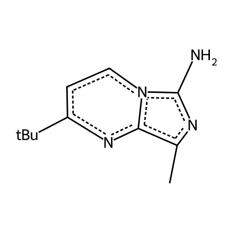 Cc1nc(N)n2ccc(C(C)(C)C)nc12